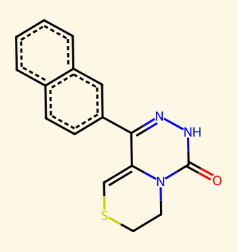 O=C1NN=C(c2ccc3ccccc3c2)C2=CSCCN12